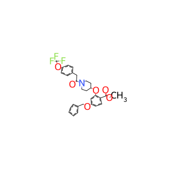 COC(=O)c1ccc(OCc2ccccc2)cc1OC1CCN(C(=O)Cc2ccc(OC(F)(F)F)cc2)CC1